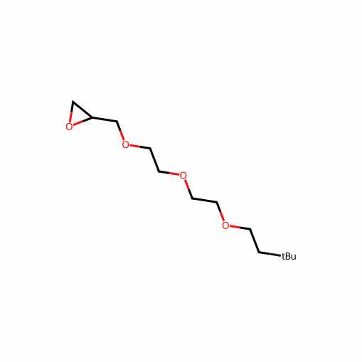 CC(C)(C)CCOCCOCCOCC1CO1